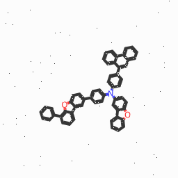 c1ccc(-c2cccc3c2oc2ccc(-c4ccc(N(c5ccc(-c6cc7ccccc7c7ccccc67)cc5)c5ccc6oc7ccccc7c6c5)cc4)cc23)cc1